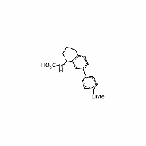 COc1ccc(-c2ccc3c(c2)C(NC(=O)O)CCC3)cc1